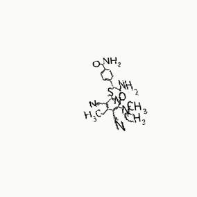 CCc1c(C#N)c(SC(C(N)=O)c2ccc(C(N)=O)cc2)nc(N(C)C)c1C#N